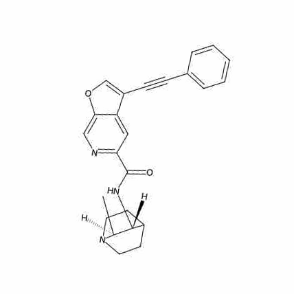 C[C@H]1[C@H](NC(=O)c2cc3c(C#Cc4ccccc4)coc3cn2)C2CCN1CC2